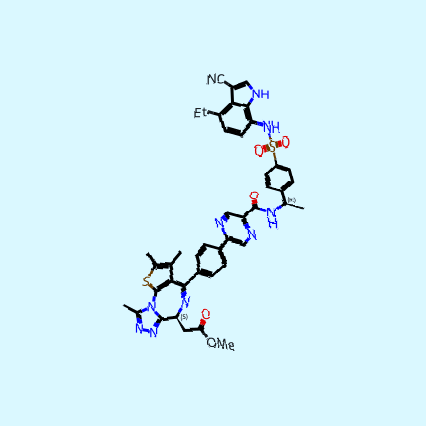 CCc1ccc(NS(=O)(=O)c2ccc([C@@H](C)NC(=O)c3cnc(-c4ccc(C5=N[C@@H](CC(=O)OC)c6nnc(C)n6-c6sc(C)c(C)c65)cc4)cn3)cc2)c2[nH]cc(C#N)c12